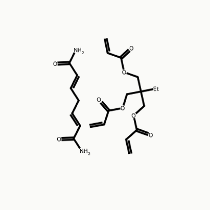 C=CC(=O)OCC(CC)(COC(=O)C=C)COC(=O)C=C.NC(=O)C=CCC=CC(N)=O